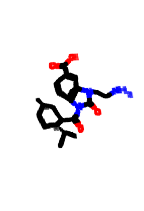 CC(C)[C@@H]1CC[C@@H](C)CC1C(=O)n1c(=O)n(CCN)c2cc(C(=O)O)ccc21